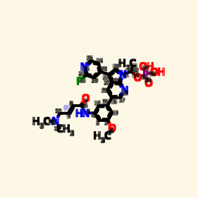 COc1cc(NC(=O)/C=C/CN(C)C)cc(-c2cnc3c(c2)c(-c2ccnc(F)c2)cn3C(C)OP(=O)(O)O)c1